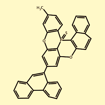 Cc1ccc2c(c1)Oc1cc(-c3cc4ccccc4c4ccccc34)cc3c1P2(=S)c1c(ccc2ccccc12)O3